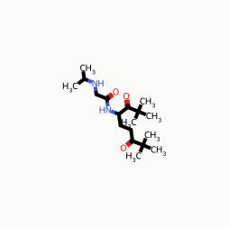 CC(C)NCC(=O)NC(CCC(=O)C(C)(C)C)C(=O)C(C)(C)C